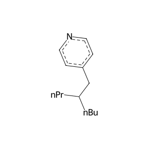 CCCCC(CCC)Cc1ccncc1